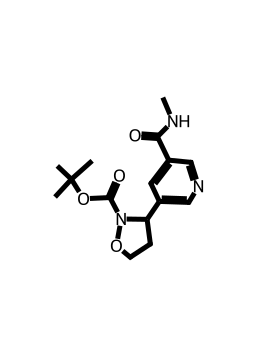 CNC(=O)c1cncc(C2CCON2C(=O)OC(C)(C)C)c1